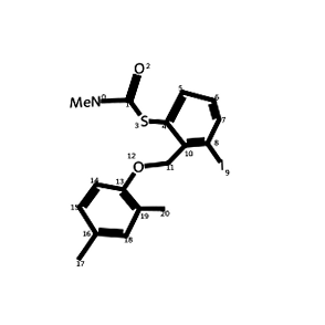 CNC(=O)Sc1cccc(I)c1COc1ccc(C)cc1C